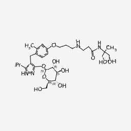 Cc1cc(OCCCNCCC(=O)NC(C)(CO)CO)ccc1Cc1c(O[C@@H]2O[C@H](CO)[C@@H](O)[C@H](O)[C@H]2O)n[nH]c1C(C)C